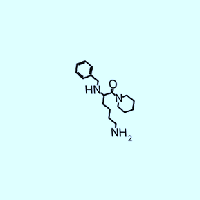 NCCCCC(NCc1ccccc1)C(=O)N1CCCCC1